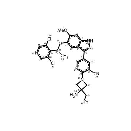 COc1cc2[nH]nc(-c3cnc(N4CC(N)(CC(C)C)C4)c(C#N)c3)c2cc1O[C@H](C)c1c(Cl)cncc1Cl